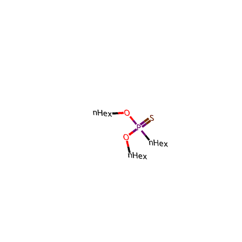 CCCCCCOP(=S)(CCCCCC)OCCCCCC